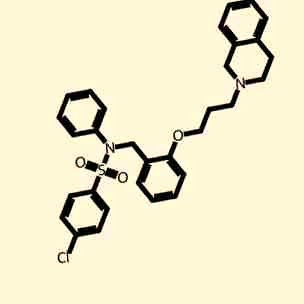 O=S(=O)(c1ccc(Cl)cc1)N(Cc1ccccc1OCCCN1CCc2ccccc2C1)c1ccccc1